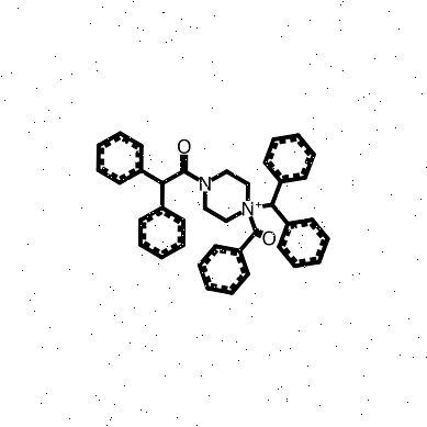 O=C(C(c1ccccc1)c1ccccc1)N1CC[N+](C(=O)c2ccccc2)(C(c2ccccc2)c2ccccc2)CC1